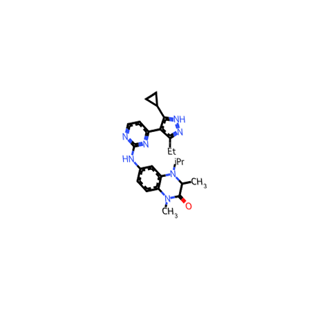 CCc1n[nH]c(C2CC2)c1-c1ccnc(Nc2ccc3c(c2)N(C(C)C)C(C)C(=O)N3C)n1